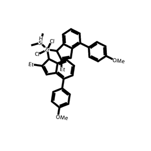 CCC1=Cc2c(-c3ccc(OC)cc3)cccc2[CH]1[Zr]([Cl])([Cl])([CH]1C(CC)=Cc2c(-c3ccc(OC)cc3)cccc21)[SiH](C)C